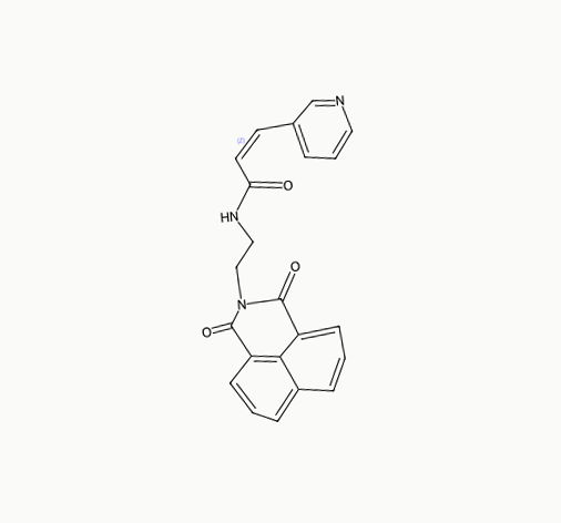 O=C(/C=C\c1cccnc1)NCCN1C(=O)c2cccc3cccc(c23)C1=O